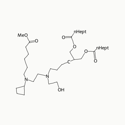 CCCCCCCC(=O)OCC(CCCCN(CCO)CCN(CCCCCC(=O)OC)C1CCC1)COC(=O)CCCCCCC